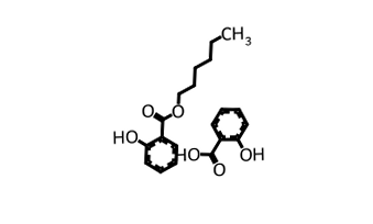 CCCCCCOC(=O)c1ccccc1O.O=C(O)c1ccccc1O